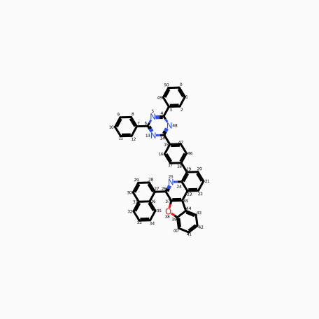 c1ccc(-c2nc(-c3ccccc3)nc(-c3ccc(-c4cccc5c4nc(-c4cccc6ccccc46)c4oc6ccccc6c45)cc3)n2)cc1